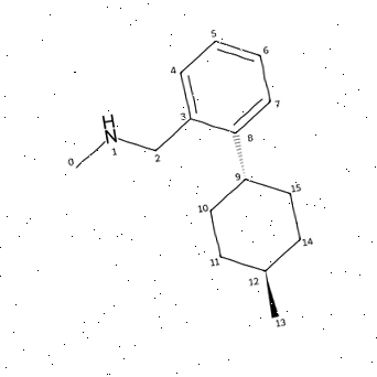 CNCc1ccccc1[C@H]1CC[C@H](C)CC1